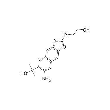 CC(C)(O)c1nc2cc3nc(NCCO)oc3cc2cc1N